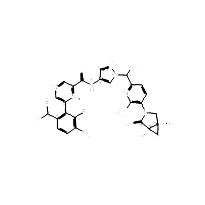 Cc1nc(C(C)n2cc(NC(=O)c3cncc(-c4c(C(F)F)ccc(Cl)c4F)n3)cn2)ccc1N1C[C@H]2C[C@H]2C1=O